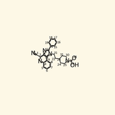 N#Cc1nc2ccccc2c2c1nc(-c1ccccc1)n2CCC1CCN(C(=O)O)CC1